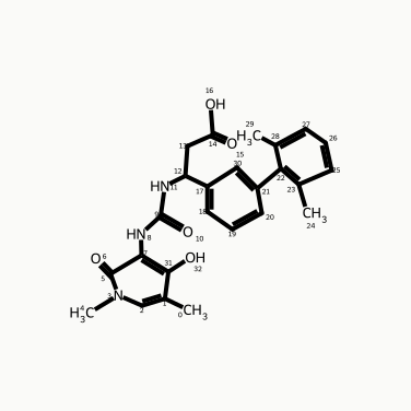 Cc1cn(C)c(=O)c(NC(=O)NC(CC(=O)O)c2cccc(-c3c(C)cccc3C)c2)c1O